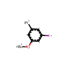 [CH2]C(C)c1cc(I)cc(OCCCC)c1